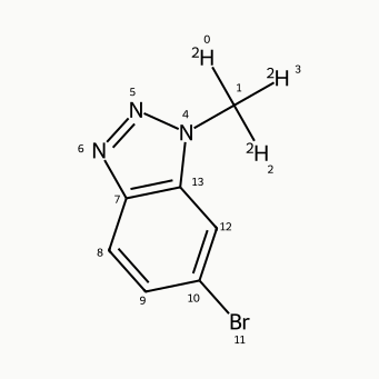 [2H]C([2H])([2H])n1nnc2ccc(Br)cc21